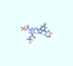 CC(C)(C)OC(=O)NCC(CNC(=O)OC(C)(C)C)Cn1cnc2c(N3CCOCC3)cc(Cl)nc21